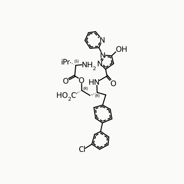 CC(C)[C@H](N)C(=O)O[C@H](C[C@@H](Cc1ccc(-c2cccc(Cl)c2)cc1)NC(=O)c1cc(O)n(-c2ccccn2)n1)C(=O)O